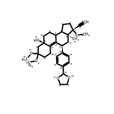 C#C[C@]1(OC)CCC2C3CC[C@@]4(O)CC(OC)(OC)CCC4=C3[C@H](c3ccc(C4OCCO4)cc3)C[C@@]21C